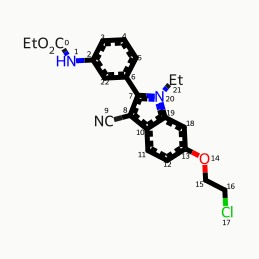 CCOC(=O)Nc1cccc(-c2c(C#N)c3ccc(OCCCl)cc3n2CC)c1